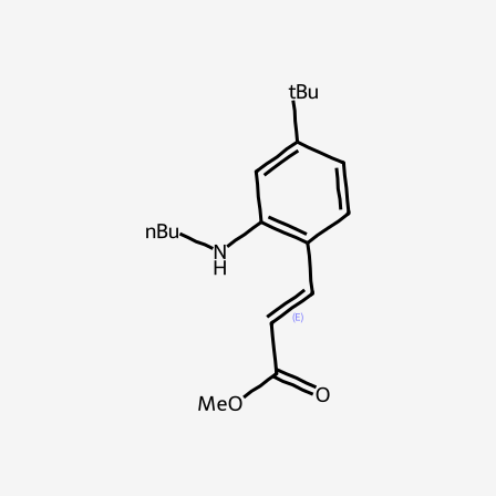 CCCCNc1cc(C(C)(C)C)ccc1/C=C/C(=O)OC